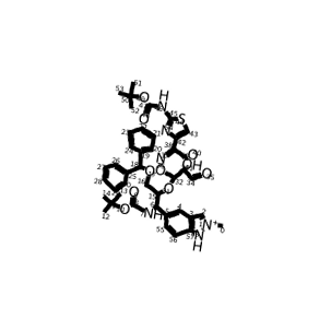 C[n+]1cc2cc(C(NC(=O)OC(C)(C)C)C(COC(c3ccccc3)c3ccccc3)OC(CC=O)ON=C(C(=O)O)c3csc(NC(=O)OC(C)(C)C)n3)ccc2[nH]1